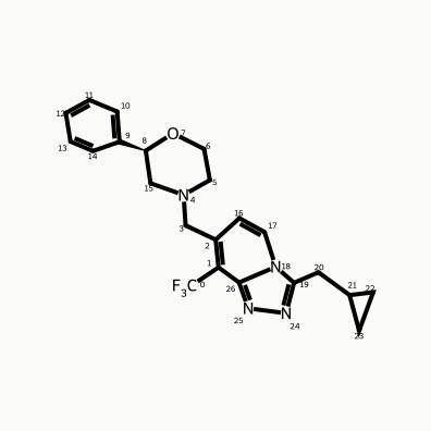 FC(F)(F)c1c(CN2CCO[C@H](c3ccccc3)C2)ccn2c(CC3CC3)nnc12